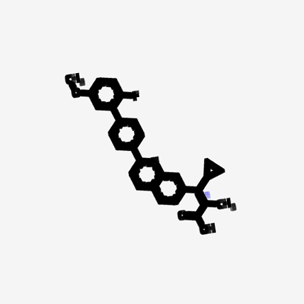 COc1ccc(F)c(-c2ccc(-c3ccc4ccc(/C(=C(/C)C(=O)O)C5CC5)cc4n3)cc2)c1